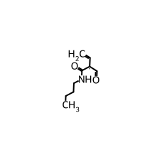 C=C[C](C=O)C(=O)NCCCC